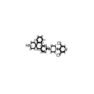 Clc1cncc(Cl)c1N1CCN(c2ncc3c(n2)-c2ccccc2C2(CCNCC2)C3)CC1